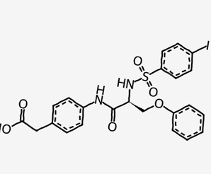 O=C(O)Cc1ccc(NC(=O)[C@H](COc2ccccc2)NS(=O)(=O)c2ccc(I)cc2)cc1